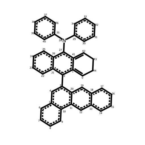 C1=c2c(-c3cc4ccccc4c4cc5ccccc5cc34)c3ccccc3c(N(c3ccccc3)c3ccccc3)c2=CCC1